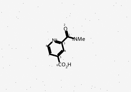 CNC(=O)c1cc(C(=O)O)ccn1